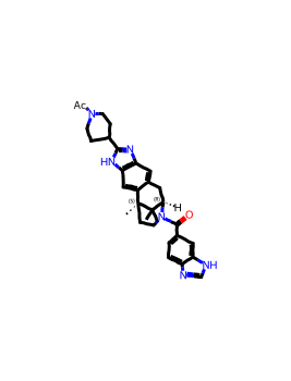 CC(=O)N1CCC(c2nc3cc4c(cc3[nH]2)[C@]2(C)CCN(C(=O)c3ccc5nc[nH]c5c3)[C@H](C4)C2(C)C)CC1